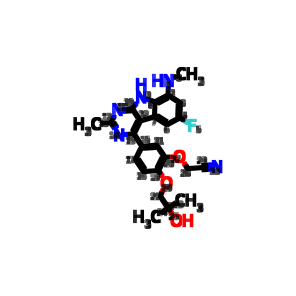 CNc1cc(F)cc2c1[nH]c1nc(C)nc(-c3ccc(OCC(C)(C)O)c(OCC#N)c3)c12